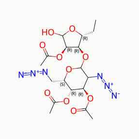 CC[C@H]1OC(O)[C@H](OC(C)=O)[C@@H]1OC1O[C@@H](CN=[N+]=[N-])[C@@H](OC(C)=O)[C@H](OC(C)=O)C1N=[N+]=[N-]